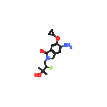 CC(C)(O)C(F)CN1Cc2cc(N)c(OC3CC3)cc2C1=O